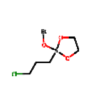 CCO[Si]1(CCCCl)OCCO1